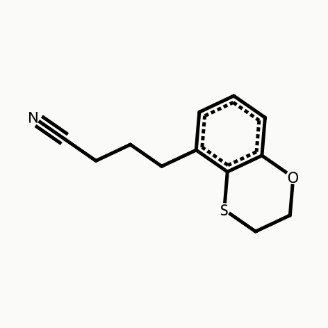 N#CCCCc1cccc2c1SCCO2